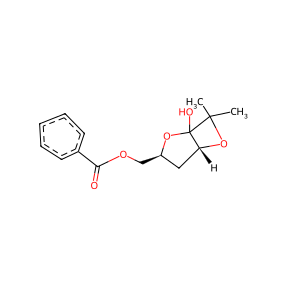 CC1(C)O[C@@H]2C[C@@H](COC(=O)c3ccccc3)OC21O